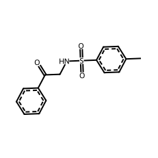 Cc1ccc(S(=O)(=O)NCC(=O)c2ccccc2)cc1